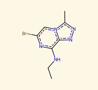 CCNc1nc(Br)cn2c(C)nnc12